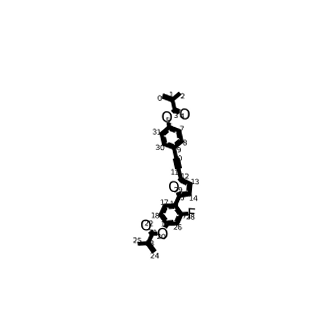 C=C(C)C(=O)Oc1ccc(C#Cc2ccc(-c3ccc(OC(=O)C(=C)C)cc3F)o2)cc1